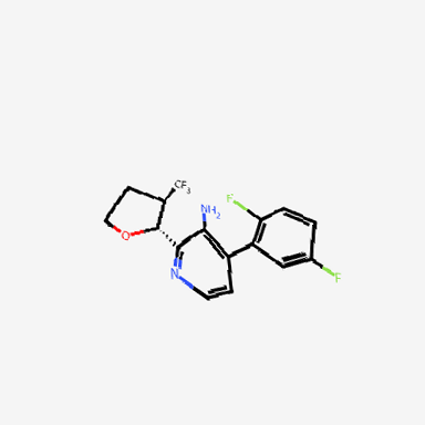 Nc1c(-c2cc(F)ccc2F)ccnc1[C@@H]1OCC[C@H]1C(F)(F)F